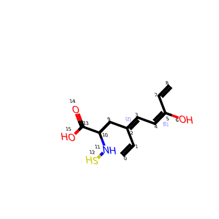 C=C/C(=C\C=C(\O)C=C)CC(NS)C(=O)O